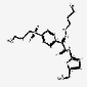 COCCCS(=O)(=O)c1ccc(/C(=N\OCCCO)C(=O)Nc2ncc(COC)s2)cc1